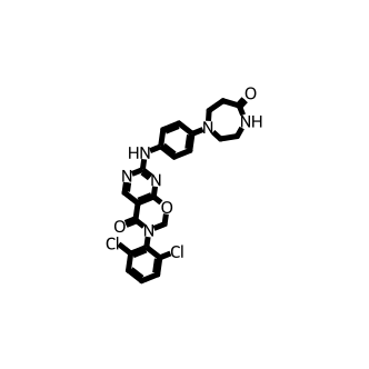 O=C1CCN(c2ccc(Nc3ncc4c(n3)OCN(c3c(Cl)cccc3Cl)C4=O)cc2)CCN1